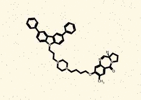 Cc1cc2c(cc1OCCCCN1CCN(CCCn3c4ccc(-c5ccccc5)cc4c4cc(-c5ccccc5)ccc43)CC1)N=C[C@@H]1CCCN1C2=O